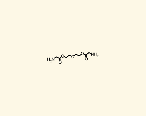 NCC(=O)OCCOCCOC(=O)CN